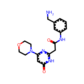 NCc1cccc(NC(=O)Cc2nc(N3CCOCC3)cc(=O)[nH]2)c1